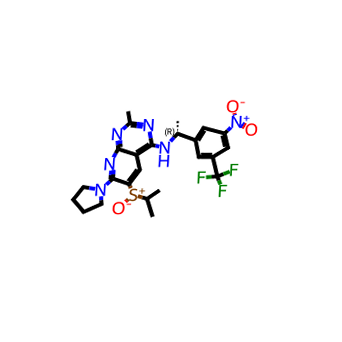 Cc1nc(N[C@H](C)c2cc([N+](=O)[O-])cc(C(F)(F)F)c2)c2cc([S+]([O-])C(C)C)c(N3CCCC3)nc2n1